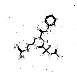 CCC(CC)(NC(=O)C(C)C)C(=O)N[C@@H](CCCNC(=N)N)C(=O)Nc1ccccc1